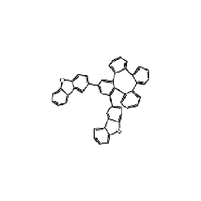 c1ccc2c(c1)-c1ccccc1-c1cc(-c3ccc4oc5ccccc5c4c3)cc(-c3ccc4sc5ccccc5c4c3)c1-c1ccccc1-2